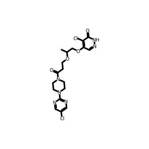 CC(COc1cn[nH]c(=O)c1Cl)OCCC(=O)N1CCN(c2ncc(Cl)cn2)CC1